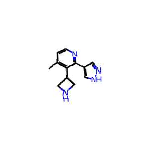 Cc1ccnc(-c2cn[nH]c2)c1C1CNC1